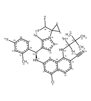 [2H]c1c([C@@H](Nc2cc(Cl)c3ncc(C#N)c(NC([2H])([2H])C(C)(C)C)c3c2)c2ccc(F)nc2C)nnn1C1(C(F)F)CC1